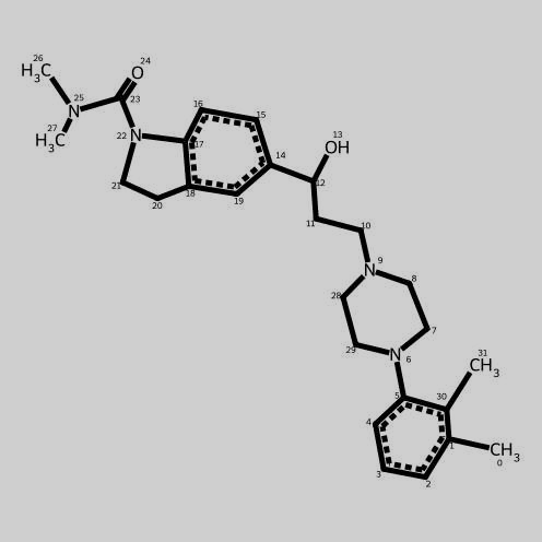 Cc1cccc(N2CCN(CCC(O)c3ccc4c(c3)CCN4C(=O)N(C)C)CC2)c1C